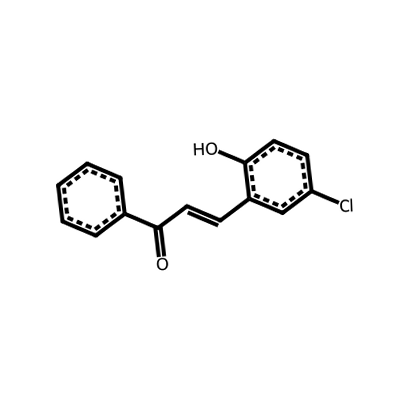 O=C(C=Cc1cc(Cl)ccc1O)c1ccccc1